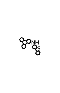 c1ccc2c(c1)sc1cc(Nc3ccc4c5ccccc5c5ccccc5c4c3)ccc12